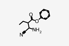 CCC(C(=O)Oc1ccccc1)C(N)C#N